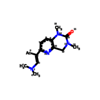 CC(=O)C(=CN(C)C)c1ccc2c(n1)CN(C)C(=O)N2C